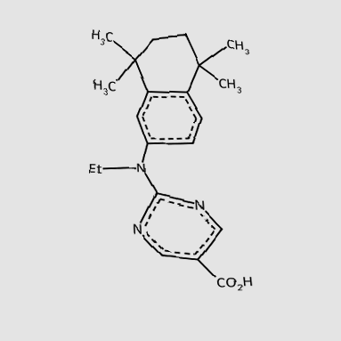 CCN(c1ccc2c(c1)C(C)(C)CCC2(C)C)c1ncc(C(=O)O)cn1